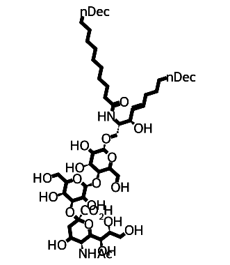 CCCCCCCCCCCCC/C=C/[C@@H](O)[C@H](CO[C@@H]1OC(CO)[C@@H](O[C@@H]2OC(CO)[C@H](O)[C@H](O[C@]3(C(=O)O)CC(O)[C@@H](NC(C)=O)C([C@H](O)[C@H](O)CO)O3)C2O)[C@H](O)C1O)NC(=O)CCCCCCCCCCCCCCCCCCC